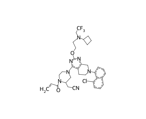 C=CC(=O)N1CCN(c2nc(OCCN(CC(F)(F)F)C3CCC3)nc3c2CCN(c2cccc4cccc(Cl)c24)C3)CC1CC#N